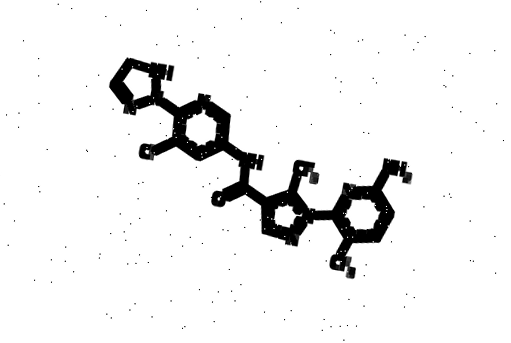 Nc1ccc(C(F)(F)F)c(-n2ncc(C(=O)Nc3cnc(N4N=CCN4)c(Cl)c3)c2C(F)(F)F)n1